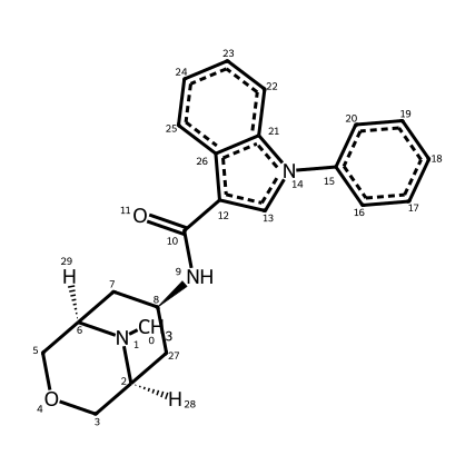 CN1[C@@H]2COC[C@H]1C[C@@H](NC(=O)c1cn(-c3ccccc3)c3ccccc13)C2